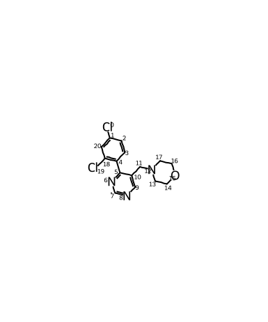 Clc1ccc(-c2n[c]ncc2CN2CCOCC2)c(Cl)c1